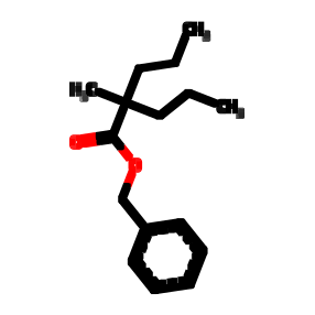 CCCC(C)(CCC)C(=O)OCc1ccccc1